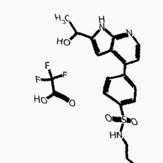 CC(O)c1cc2c(-c3ccc(S(=O)(=O)NCCN)cc3)ccnc2[nH]1.O=C(O)C(F)(F)F